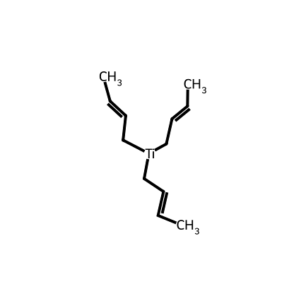 CC=C[CH2][Ti]([CH2]C=CC)[CH2]C=CC